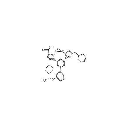 CC(Oc1cccc(-c2cccc(-n3ncc(C(=O)O)c3[C@@H]3C[C@H]3c3cn(Cc4ccccc4)nn3)c2)c1)C1CCCCC1